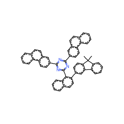 CC1(C)c2ccccc2-c2cc(-c3ccc4ccccc4c3-c3nc(-c4ccc5c(ccc6ccccc65)c4)nc(-c4ccc5c(ccc6ccccc65)c4)n3)ccc21